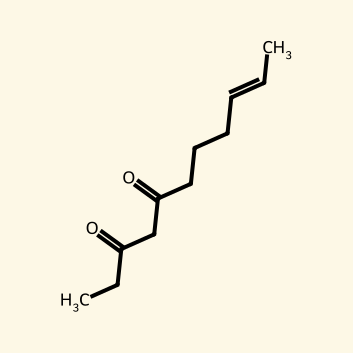 CC=CCCCC(=O)CC(=O)CC